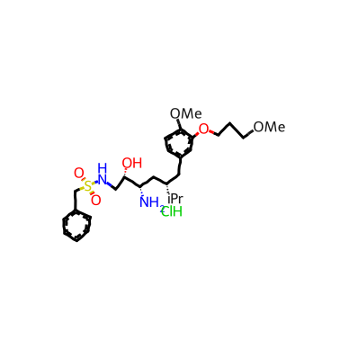 COCCCOc1cc(C[C@@H](C[C@H](N)[C@@H](O)CNS(=O)(=O)Cc2ccccc2)C(C)C)ccc1OC.Cl